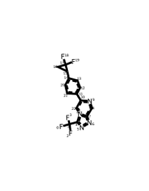 FC(F)(F)c1nnc2cnc(-c3ccc(C4CC4(F)F)cc3)cn12